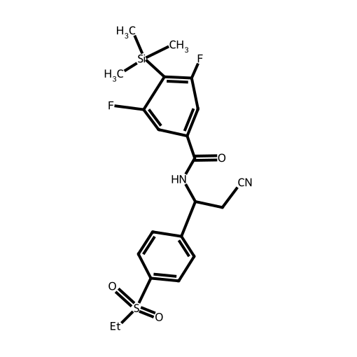 CCS(=O)(=O)c1ccc(C(CC#N)NC(=O)c2cc(F)c([Si](C)(C)C)c(F)c2)cc1